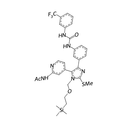 CSc1nc(-c2cccc(NC(=O)Nc3cccc(C(F)(F)F)c3)c2)c(-c2ccnc(NC(C)=O)c2)n1COCC[Si](C)(C)C